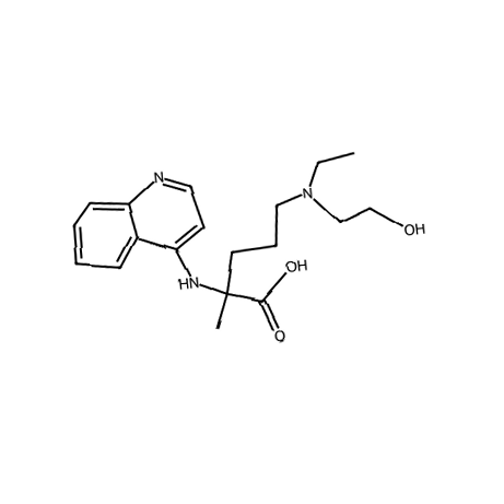 CCN(CCO)CCCC(C)(Nc1ccnc2ccccc12)C(=O)O